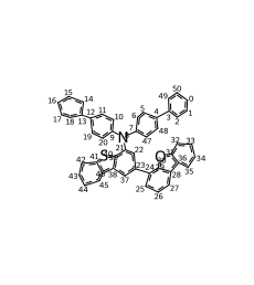 c1ccc(-c2ccc(N(c3ccc(-c4ccccc4)cc3)c3cc(-c4cccc5c4oc4ccccc45)cc4c3sc3ccccc34)cc2)cc1